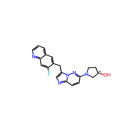 O[C@@H]1CCN(c2ccc3ncc(Cc4cc5cccnc5cc4F)n3n2)C1